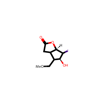 COCC1C2CC(=O)O[C@H]2C(I)[C@H]1O